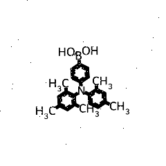 Cc1ccc(N(c2ccc(B(O)O)cc2)c2c(C)cc(C)cc2C)c(C)c1